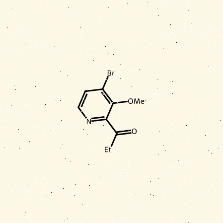 CCC(=O)c1nccc(Br)c1OC